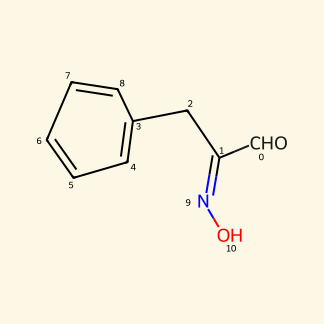 O=CC(Cc1ccccc1)=NO